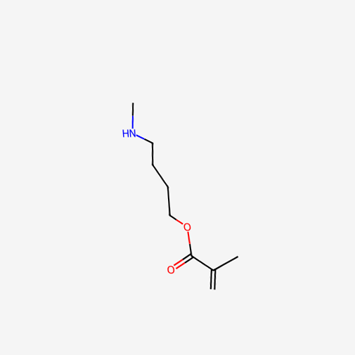 C=C(C)C(=O)OCCCCNC